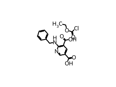 CCOC(=O)Cl.O=C(O)c1cnc(NCc2ccccc2)c(C(=O)O)c1